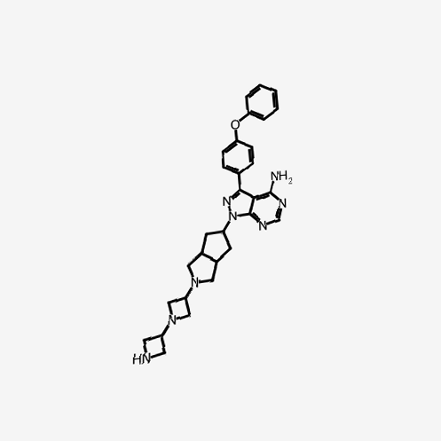 Nc1ncnc2c1c(-c1ccc(Oc3ccccc3)cc1)nn2C1CC2CN(C3CN(C4CNC4)C3)CC2C1